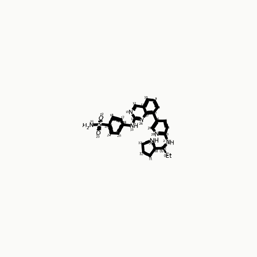 CC[C@H](Nc1ccc(-c2cccc3cnc(Nc4ccc(S(N)(=O)=O)cc4)nc23)cn1)C1CCCN1